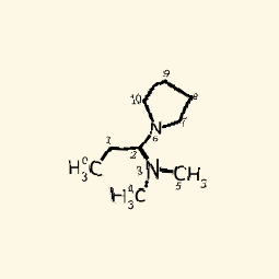 CCC(N(C)C)N1CCCC1